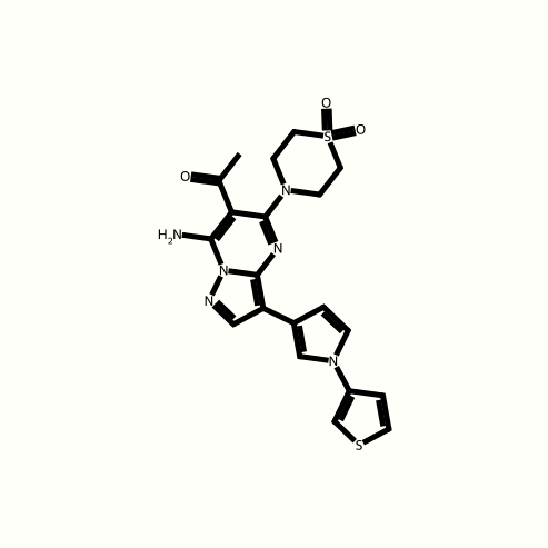 CC(=O)c1c(N2CCS(=O)(=O)CC2)nc2c(-c3ccn(-c4ccsc4)c3)cnn2c1N